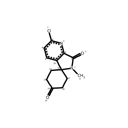 CN1C(=O)c2nc(Cl)ccc2C12CCC(=O)CC2